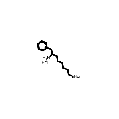 CCCCCCCCCCCCCCCC(N)Cc1ccccc1.Cl